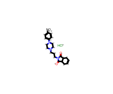 Cl.O=C1C2CC=CCC2C(=O)N1CCCN1CCN(c2ccc([N+](=O)[O-])cc2)CC1